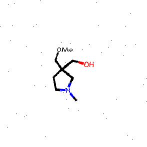 COCC1(CO)CCN(C)C1